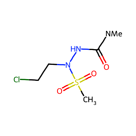 CNC(=O)NN(CCCl)S(C)(=O)=O